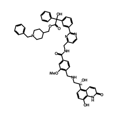 COc1cc(C(=O)NCc2ccnc(-c3cccc(C(O)(C(=O)OCC4CCN(Cc5ccccc5)CC4)c4ccccc4)c3)n2)ccc1CNC[C@H](O)c1ccc(O)c2[nH]c(=O)ccc12